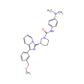 COCc1cccc(-c2nc([C@@H]3CCCN(C(=O)Nc4ccc(N(C)C)cc4)C3)n3ccccc23)c1